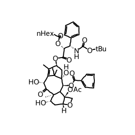 CCCCCCC(=O)O[C@@H](C(=O)O[C@H]1C[C@@]2(O)[C@@H](OC(=O)c3ccccc3)C3[C@](C)(C(=O)[C@H](O)C(=C1C)C2(C)C)[C@@H](O)C[C@H]1OC[C@@]31OC(C)=O)[C@@H](NC(=O)OC(C)(C)C)c1ccccc1